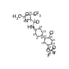 Cc1nc(C(=O)Nc2ccc(-c3cc4c(cc3Cl)OC(F)(F)O4)cc2)c(C(F)(F)F)o1